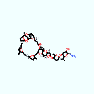 C=C1C[C@@H]2CC[C@]34CCC(O3)[C@H]3C[C@@H](O4)[C@H]4O[C@H](CC[C@@H]4O3)CC(=O)O[C@H]3C(CC4O[C@@H](CCC1O2)C[C@@H](C)C4=C)O[C@H]1C[C@H]2O[C@@]4(CC5O[C@]6(C[C@H](C)C7O[C@H](CN)[C@H](O)CC7O6)C[C@H](C)C5O4)C[C@H]2O[C@H]1[C@@H]3C